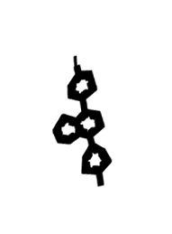 Cc1ccc(-c2ccc(-c3ccc(I)cc3)c3ccccc23)cc1